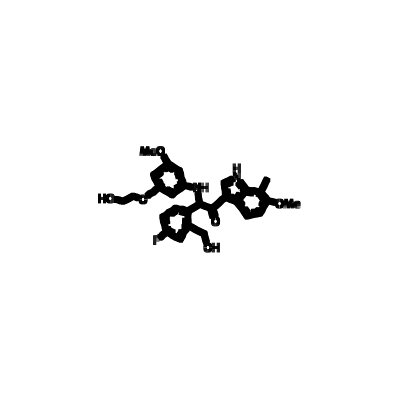 COc1cc(NC(C(=O)c2c[nH]c3c(C)c(OC)ccc23)c2ccc(F)cc2CO)cc(OCCO)c1